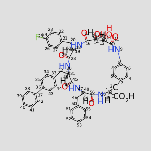 O=C(O)[C@@H]1Cc2ccc(cc2)NC(=O)[C@H](O)[C@@H](O)C(=O)N[C@H](Cc2ccc(F)cc2)C(=O)N[C@@H](Cc2ccc(-c3ccccc3)cc2)C(=O)N[C@H](Cc2ccccc2)C(=O)N1